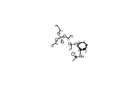 CC(=O)Nc1ccccc1.CC(=O)O.CCOP(=O)(OCC)OCC